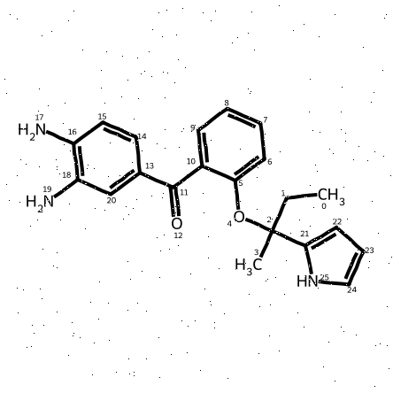 CCC(C)(Oc1ccccc1C(=O)c1ccc(N)c(N)c1)c1ccc[nH]1